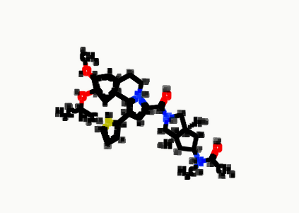 COc1cc2c(cc1OC(C)C)-c1c(-c3cccs3)cc(C(=O)N3C[C@H]4C[C@@H](N(C)C(C)=O)C[C@H]4C3)n1CC2